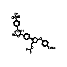 CCS(=O)(=O)c1ccc([C@H](CO)NC(=O)c2ccc(N3CC(Oc4ccc(OC)cc4)CC3COC(F)F)cc2)cc1